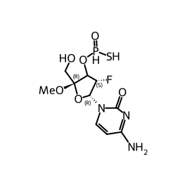 CO[C@]1(CO)O[C@@H](n2ccc(N)nc2=O)[C@@H](F)C1O[PH](=O)S